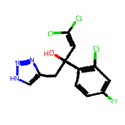 OC(C=C(Cl)Cl)(Cc1c[nH]nn1)c1ccc(Cl)cc1Cl